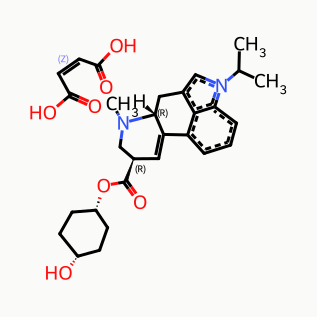 CC(C)n1cc2c3c(cccc31)C1=C[C@@H](C(=O)O[C@H]3CC[C@@H](O)CC3)CN(C)[C@@H]1C2.O=C(O)/C=C\C(=O)O